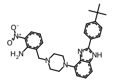 CC(C)(C)c1ccc(-c2nc3c(N4CCN(Cc5cccc([N+](=O)[O-])c5N)CC4)cccc3[nH]2)cc1